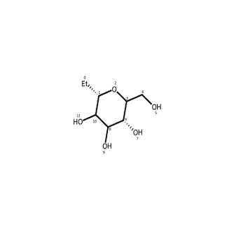 CC[C@@H]1OC(CO)[C@H](O)C(O)C1O